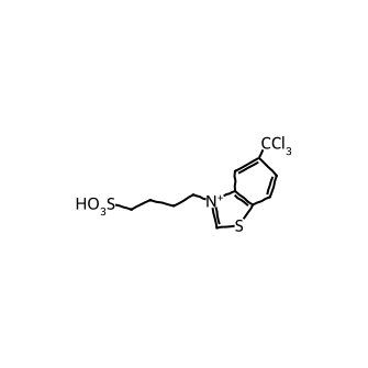 O=S(=O)(O)CCCC[n+]1csc2ccc(C(Cl)(Cl)Cl)cc21